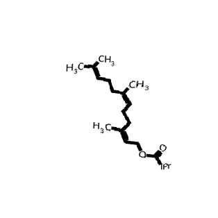 CC(C)=CCCC(C)=CCCC(C)=CCOC(=O)C(C)C